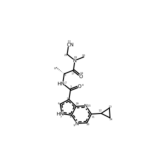 C[C@@H](NC(=O)c1c[nH]c2ncc(C3CC3)nc12)C(=O)N(C)CC#N